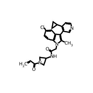 C=CC(=O)N1CC(NC(=O)Cn2c(C)c(-c3cnccc3C3CC3)c3cc(Cl)ccc32)C1